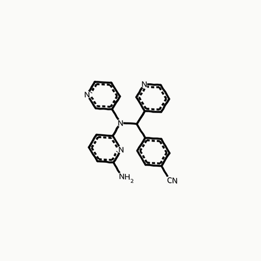 N#Cc1ccc(C(c2cccnc2)N(c2cccnc2)c2cccc(N)n2)cc1